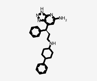 Nc1cc([C@@H](CCNC2CCC(c3ccccc3)CC2)c2ccccc2)c2nn[nH]c2n1